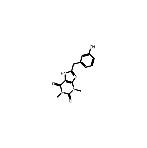 Cn1c(=O)c2[nH]c(Cc3cccc(C#N)c3)nc2n(C)c1=O